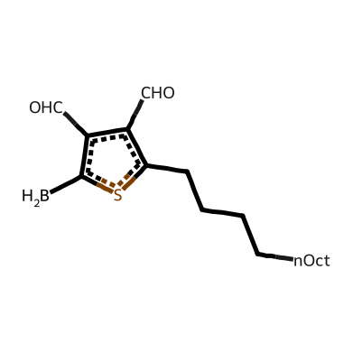 Bc1sc(CCCCCCCCCCCC)c(C=O)c1C=O